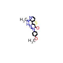 CNc1nccc2sc3c(=O)n(-c4ccc(OC)cc4)cnc3c12